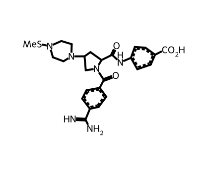 CSN1CCN(C2CC(C(=O)Nc3ccc(C(=O)O)cc3)N(C(=O)c3ccc(C(=N)N)cc3)C2)CC1